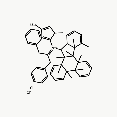 CC1=CC=CC2[CH]([Zr+2]([C]3=CC(C(C)(C)C)=CC3C)=[C](Cc3ccccc3)Cc3ccccc3)C3(C)C4(C)C=CC=CC4(C)C4(C)C=CC=CC4(C)C3(C)C12C.[Cl-].[Cl-]